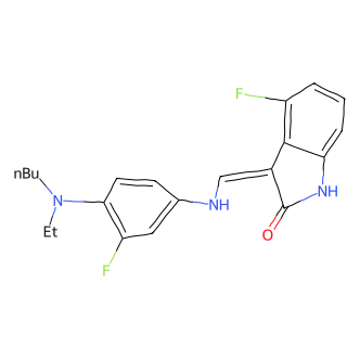 CCCCN(CC)c1ccc(NC=C2C(=O)Nc3cccc(F)c32)cc1F